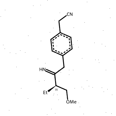 CC[C@H](COC)C(=N)Cc1ccc(CC#N)cc1